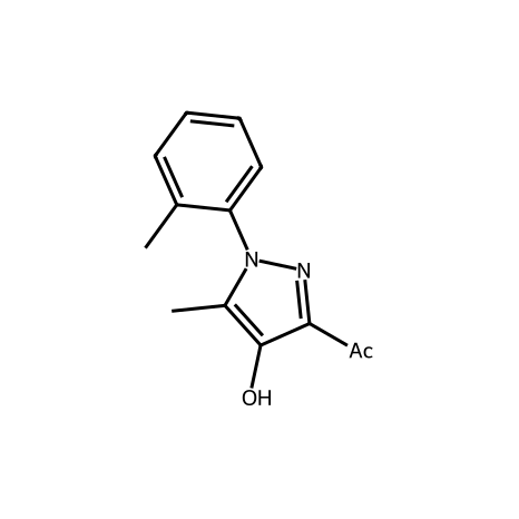 CC(=O)c1nn(-c2ccccc2C)c(C)c1O